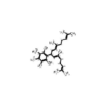 CC(C)=CCC/C(C)=C/CC(/C=C(\C)CCC=C(C)C)c1c(C)c(O)c(C)c(C)c1O